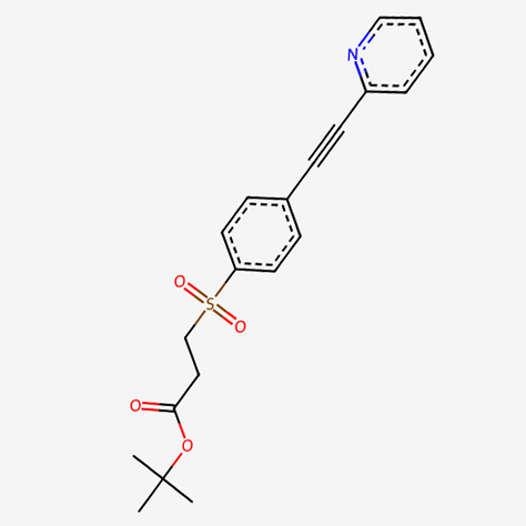 CC(C)(C)OC(=O)CCS(=O)(=O)c1ccc(C#Cc2ccccn2)cc1